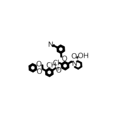 Cc1c(COc2ccc(CN3CCCC[C@H]3C(=O)O)c(OCc3cccc(C#N)c3)c2Cl)cccc1C1COc2ccccc2O1